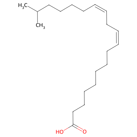 CC(C)CCCC/C=C\C/C=C\CCCCCCCC(=O)O